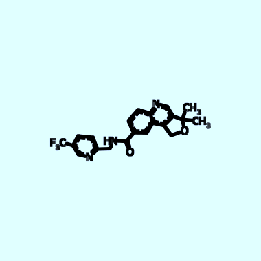 CC1(C)OCc2c1cnc1ccc(C(=O)NCc3ccc(C(F)(F)F)cn3)cc21